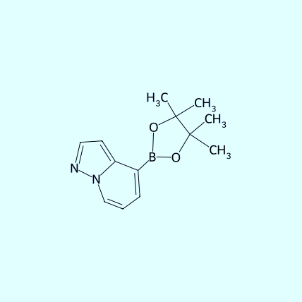 CC1(C)OB(c2cccn3nccc23)OC1(C)C